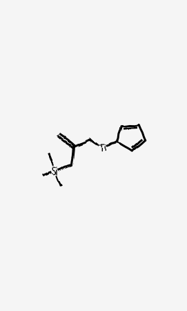 C=C([CH2][Ti][CH]1C=CC=C1)C[Si](C)(C)C